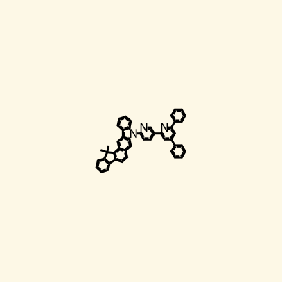 CC1(C)c2ccccc2-c2ccc3cc4c(cc3c21)c1ccccc1n4-c1ccc(-c2cc(-c3ccccc3)cc(-c3ccccc3)n2)cn1